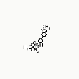 Cc1nc2cc(-c3ccc(NC(=O)OC(C)(C)C)cc3)ccc2s1